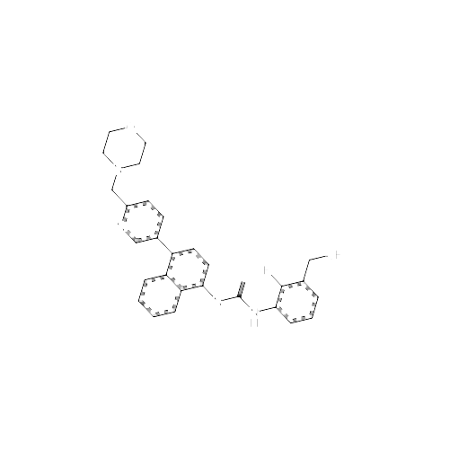 O=C(Nc1cccc(CC(F)(F)F)c1F)Nc1ccc(-c2ccc(CN3CCOCC3)nc2)c2ccccc12